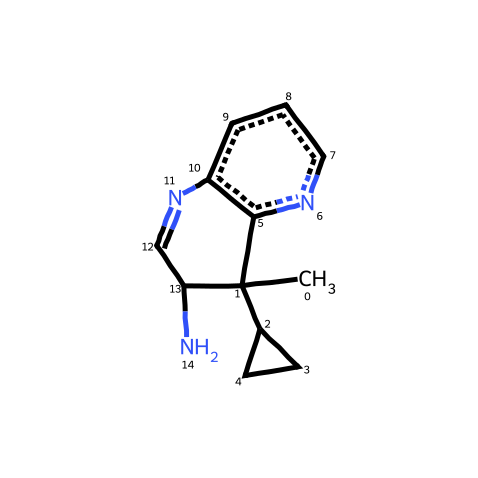 CC1(C2CC2)c2ncccc2N=CC1N